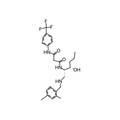 CCC[C@H](O)[C@H](CNCc1ccc(C)cc1C)NC(=O)CC(=O)Nc1ccc(C(F)(F)F)cc1